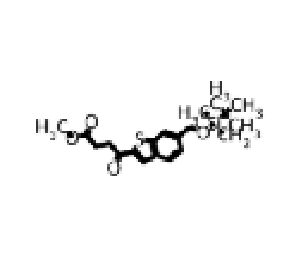 COC(=O)CCC(=O)c1cc2ccc(CO[Si](C)(C)C(C)(C)C)cc2s1